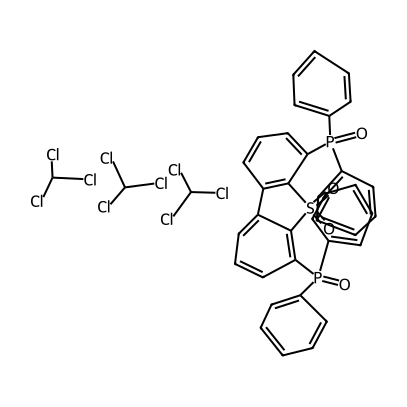 ClC(Cl)Cl.ClC(Cl)Cl.ClC(Cl)Cl.O=P(c1ccccc1)(c1ccccc1)c1cccc2c1S(=O)(=O)c1c-2cccc1P(=O)(c1ccccc1)c1ccccc1